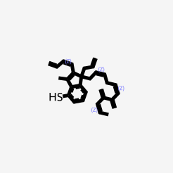 C=C/C=C\C1=C(C)c2c(S)cccc2C1(CC=C)C/C=C\C/C=C\C(=C)C(=C)/C=C\C